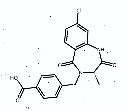 C[C@H]1C(=O)Nc2cc(Cl)ccc2C(=O)N1Cc1ccc(C(=O)O)cc1